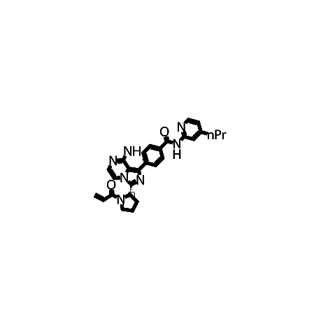 C=CC(=O)N1CCC[C@H]1c1nc(-c2ccc(C(=O)Nc3cc(CCC)ccn3)cc2)c2c(N)nccn12